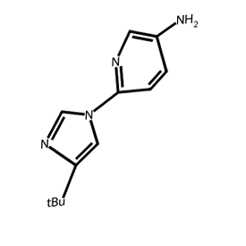 CC(C)(C)c1cn(-c2ccc(N)cn2)cn1